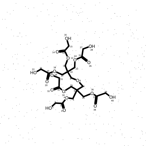 O=C(CO)OCC(COCC(COC(=O)CO)(COC(=O)CO)COC(=O)CO)(COC(=O)CO)COC(=O)CO